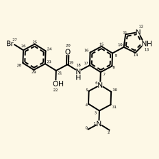 CN(C)C1CCN(c2cc(-c3cn[nH]c3)ccc2NC(=O)C(O)c2ccc(Br)cc2)CC1